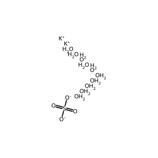 O.O.O.O.O.O.O.O.O.O.O=S(=O)([O-])[O-].[K+].[K+]